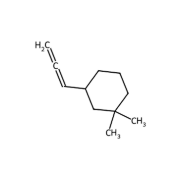 C=C=CC1CCCC(C)(C)C1